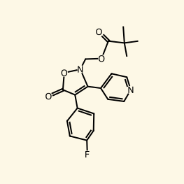 CC(C)(C)C(=O)OCn1oc(=O)c(-c2ccc(F)cc2)c1-c1ccncc1